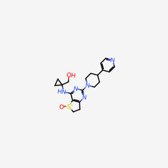 [O-][S+]1CCc2nc(N3CCC(c4ccncc4)CC3)nc(NC3(CO)CC3)c21